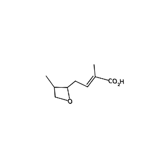 CC(=CCC1OCC1C)C(=O)O